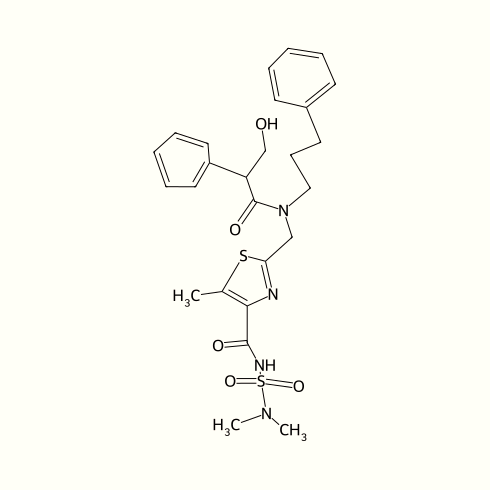 Cc1sc(CN(CCCc2ccccc2)C(=O)C(CO)c2ccccc2)nc1C(=O)NS(=O)(=O)N(C)C